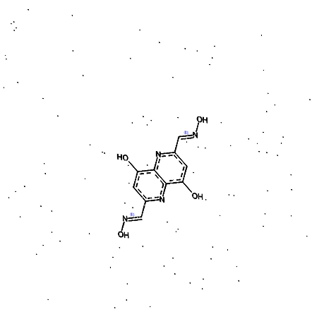 O/N=C/c1cc(O)c2nc(/C=N/O)cc(O)c2n1